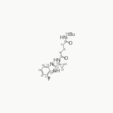 CC(C)(C)NC(=O)CCCC(=O)NC1(c2nc3cccc(F)c3[nH]2)CC1